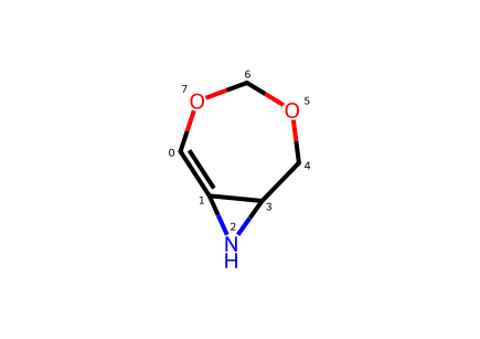 C1=C2NC2COCO1